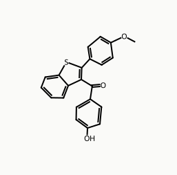 COc1ccc(-c2sc3ccccc3c2C(=O)c2ccc(O)cc2)cc1